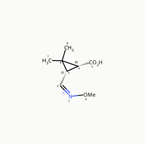 CO/N=C\[C@H]1[C@@H](C(=O)O)C1(C)C